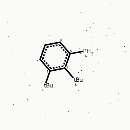 CC(C)(C)c1cccc(P)c1C(C)(C)C